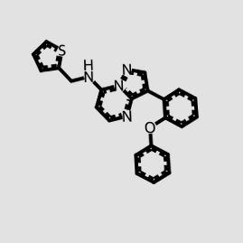 c1ccc(Oc2ccccc2-c2cnn3c(NCc4cccs4)ccnc23)cc1